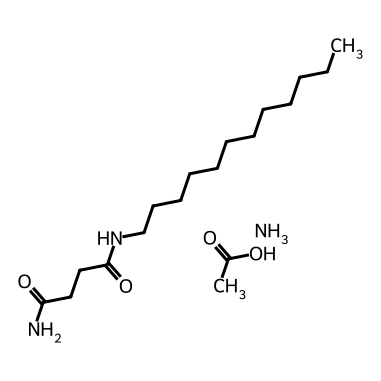 CC(=O)O.CCCCCCCCCCCCNC(=O)CCC(N)=O.N